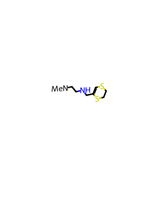 CNCCNCC1=CSCCS1